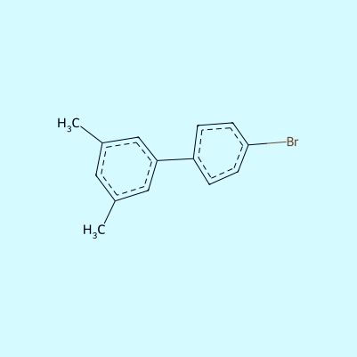 Cc1cc(C)cc(-c2ccc(Br)cc2)c1